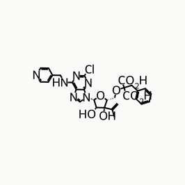 C=C(C)[C@@]1(O)[C@@H](COC(Cc2ccccc2)(C(=O)O)C(=O)O)O[C@@H](n2cnc3c(NCc4ccncc4)nc(Cl)nc32)[C@@H]1O